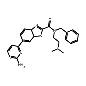 CN(C)CCN(Cc1ccccc1)C(=O)C1=NC2C=CC(c3ccnc(N)n3)=CC2S1